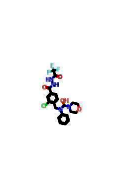 O=C(NNC(=O)C(F)(F)F)c1ccc(CN(c2ccccc2)C(O)N2CCOCC2)c(Cl)c1